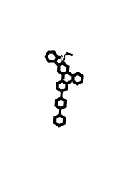 CCn1c2ccccc2c2cc3c4ccc(-c5ccc(-c6ccccc6)cc5)cc4c4ccccc4c3cc21